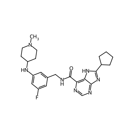 CN1CCC(Nc2cc(F)cc(CNC(=O)c3ncnc4nc(C5CCCC5)[nH]c34)c2)CC1